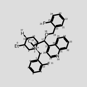 CCC1C[N@@+]2(Cc3ccccc3F)CC[C@@H]1CC2[C@@H](OCc1ccccc1F)c1ccnc2ccccc12